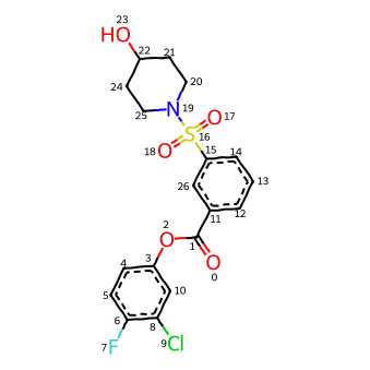 O=C(Oc1ccc(F)c(Cl)c1)c1cccc(S(=O)(=O)N2CCC(O)CC2)c1